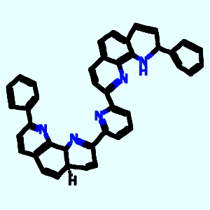 C1=C[C@H]2C=Cc3ccc(-c4ccccc4)nc3C2N=C1c1cccc(-c2ccc3ccc4c(c3n2)NC(c2ccccc2)C=C4)n1